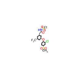 CCS(=O)(=O)NC(=O)Cc1cc(Oc2ccc(S(C)(=O)=O)cc2Cl)cc(C(F)(F)F)c1